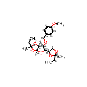 CCC1(C)O[C@H]2O[C@H]([C@H]3COC(C)(CC)O3)[C@H](OCc3ccc(OC)cc3)[C@H]2O1